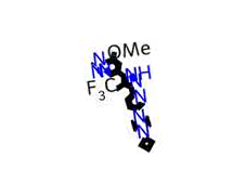 COc1cc(-c2[nH]nc(-c3ccc(N4CCN(C5CCC5)CC4)cn3)c2CC(F)(F)F)cn2ncnc12